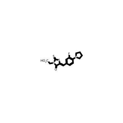 O=C(O)CN1C(=O)C(=Cc2ccc(N3CCCC3)c(F)c2)SC1=S